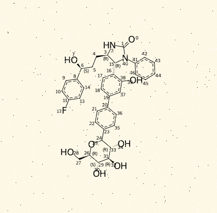 O=C1N[C@H](CC[C@H](O)c2ccc(F)cc2)[C@@H](c2ccc(-c3ccc(C4O[C@H](CO)[C@@H](O)[C@H](O)[C@H]4O)cc3)cc2O)N1c1ccccc1